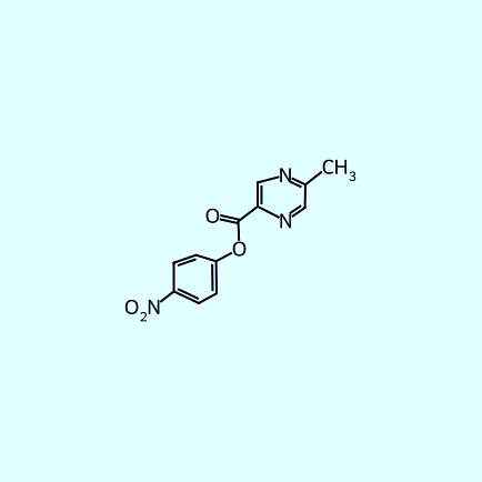 Cc1cnc(C(=O)Oc2ccc([N+](=O)[O-])cc2)cn1